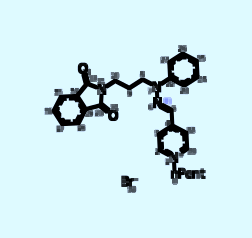 CCCCC[n+]1ccc(/C=N/N(CCCN2C(=O)c3ccccc3C2=O)c2ccccc2)cc1.[Br-]